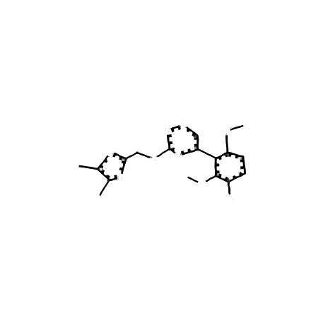 COc1ccc(Br)c(OC)c1-c1cnnc(NCc2nc(C)c(C)s2)n1